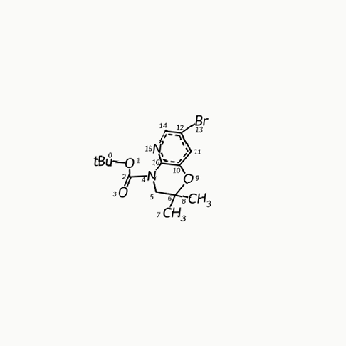 CC(C)(C)OC(=O)N1CC(C)(C)Oc2cc(Br)cnc21